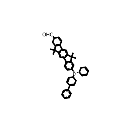 CC1(C)C2=C(C=CC(C=O)C2)c2cc3c(cc21)-c1ccc(N(C2C=CC(c4ccccc4)=CC2)[C@H]2C=CC=CC2)cc1C3(C)C